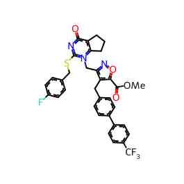 COC(=O)c1onc(Cn2c(SCc3ccc(F)cc3)nc(=O)c3c2CCC3)c1Cc1ccc(-c2ccc(C(F)(F)F)cc2)cc1